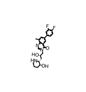 Cc1cc(-c2ccc(F)c(F)c2)cc2c(=O)n(C[C@@H](O)C[C@H]3NCCC[C@@H]3O)cnc12